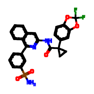 NS(=O)(=O)c1cccc(-c2nc(NC(=O)C3(c4ccc5c(c4)OC(F)(F)O5)CC3)cc3ccccc23)c1